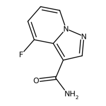 NC(=O)c1cnn2cccc(F)c12